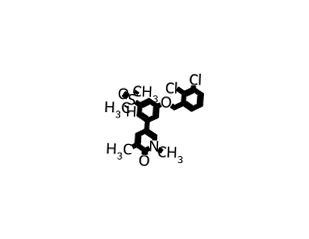 Cc1cc(-c2cc(OCc3cccc(Cl)c3Cl)cc([SH](C)(C)=O)c2)cn(C)c1=O